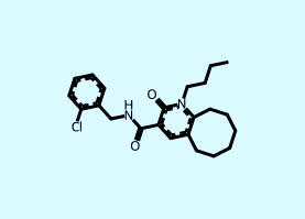 CCCCn1c2c(cc(C(=O)NCc3ccccc3Cl)c1=O)CCCCCC2